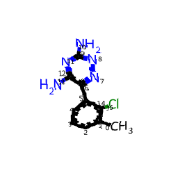 Cc1cccc(-c2nnc(N)nc2N)c1Cl